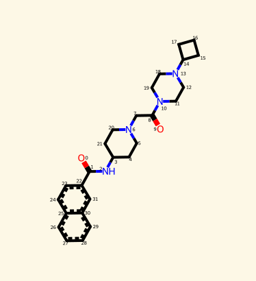 O=C(NC1CCN(CC(=O)N2CCN(C3CCC3)CC2)CC1)c1ccc2ccccc2c1